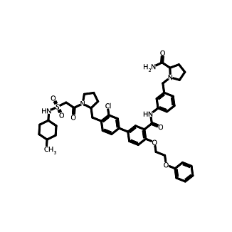 CC1CCC(NS(=O)(=O)CC(=O)N2CCCC2Cc2ccc(-c3ccc(OCCOc4ccccc4)c(C(=O)Nc4cccc(CN5CCCC5C(N)=O)c4)c3)cc2Cl)CC1